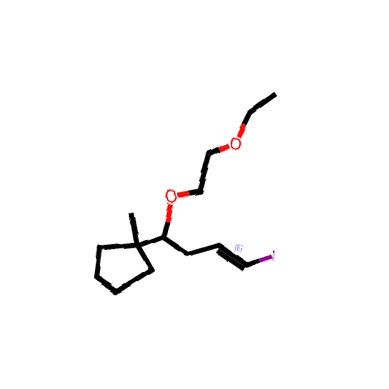 CCOCCOC(C/C=C/I)C1(C)CCCC1